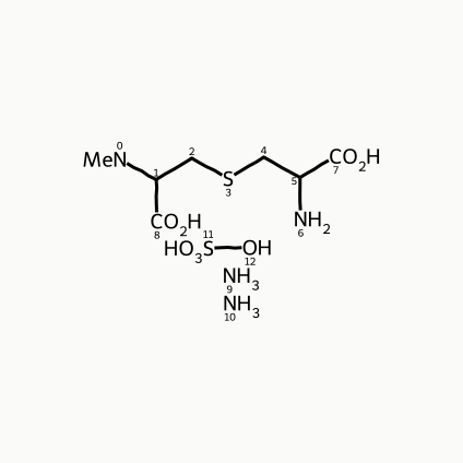 CNC(CSCC(N)C(=O)O)C(=O)O.N.N.O=S(=O)(O)O